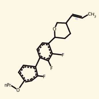 C/C=C/C1CCC(c2ccc(-c3ccc(OCCC)cc3F)c(F)c2F)OC1